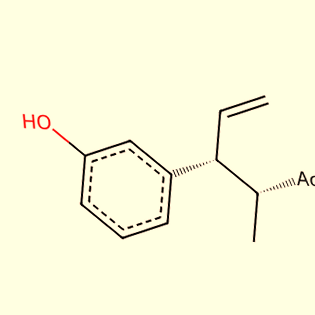 C=C[C@@H](c1cccc(O)c1)[C@@H](C)C(C)=O